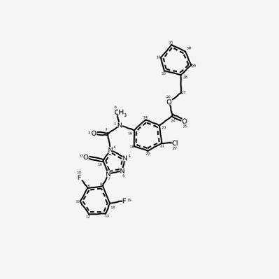 CN(C(=O)n1nnn(-c2c(F)cccc2F)c1=O)c1ccc(Cl)c(C(=O)OCc2ccccc2)c1